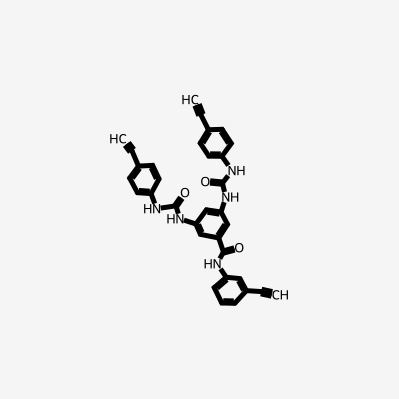 C#Cc1ccc(NC(=O)Nc2cc(NC(=O)Nc3ccc(C#C)cc3)cc(C(=O)Nc3cccc(C#C)c3)c2)cc1